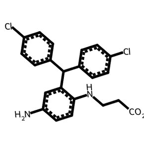 Nc1ccc(NCCC(=O)O)c(C(c2ccc(Cl)cc2)c2ccc(Cl)cc2)c1